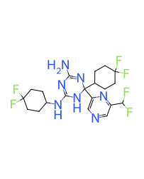 NC1=NC(c2cncc(C(F)F)n2)(C2CCC(F)(F)CC2)NC(NC2CCC(F)(F)CC2)=N1